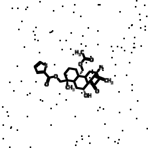 C=C1C(=O)[C@]23CC[C@H]1CC2[C@]1(COC(C)=O)CCC[C@@](C)(COC(=O)c2cccs2)C1C[C@H]3O